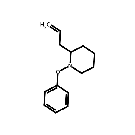 C=CCC1CCCCN1Oc1ccccc1